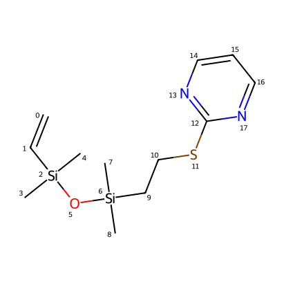 C=C[Si](C)(C)O[Si](C)(C)CCSc1ncccn1